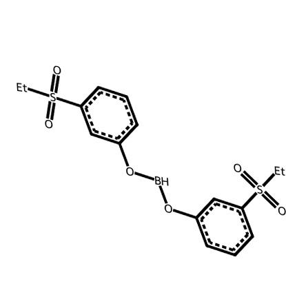 CCS(=O)(=O)c1cccc(OBOc2cccc(S(=O)(=O)CC)c2)c1